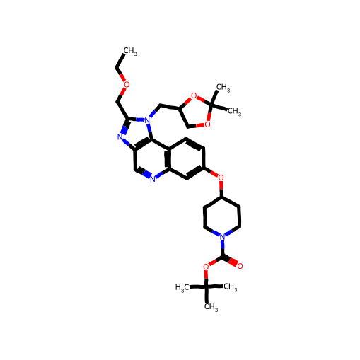 CCOCc1nc2cnc3cc(OC4CCN(C(=O)OC(C)(C)C)CC4)ccc3c2n1CC1COC(C)(C)O1